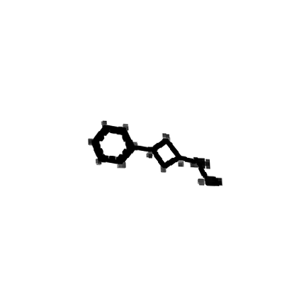 CC(C)(C)NC1CC(c2ccccc2)C1